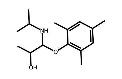 Cc1cc(C)c(OC(NC(C)C)C(C)O)c(C)c1